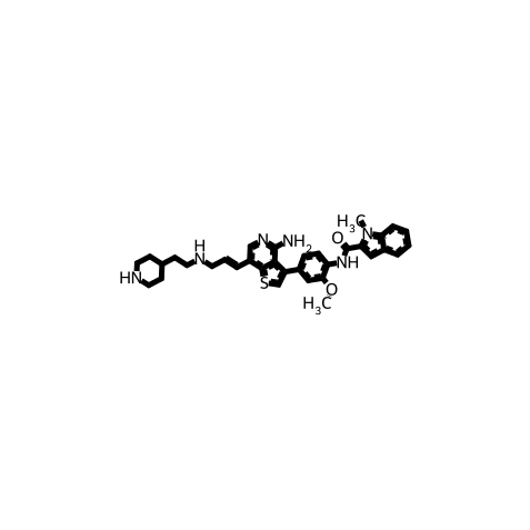 COc1cc(-c2csc3c(C=CCNCCC4CCNCC4)cnc(N)c23)ccc1NC(=O)c1cc2ccccc2n1C